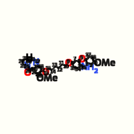 COc1ccc(Oc2cc(OCCCCCCOc3cc4c(cc3OC)C(=O)N3CCC[C@H]3C=N4)ccc2N)cc1